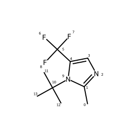 Cc1ncc(C(F)(F)F)n1C(C)(C)C